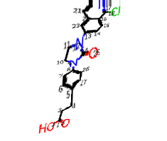 O=C(O)CCc1ccc(N2CCN(c3ccc4c(Cl)nccc4c3)C2=O)cc1